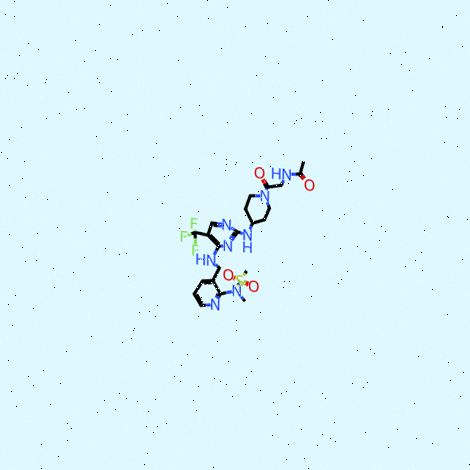 CC(=O)NCC(=O)N1CCC(Nc2ncc(C(F)(F)F)c(NCc3cccnc3N(C)S(C)(=O)=O)n2)CC1